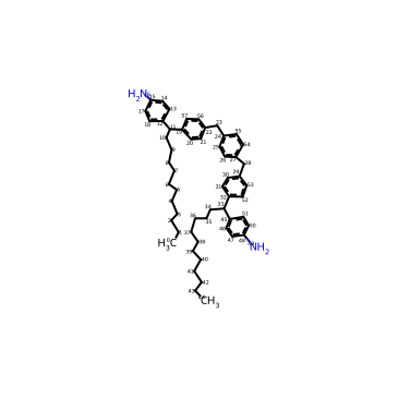 CCCCCCCCCCCC(c1ccc(N)cc1)c1ccc(Cc2ccc(Cc3ccc(C(CCCCCCCCCCC)c4ccc(N)cc4)cc3)cc2)cc1